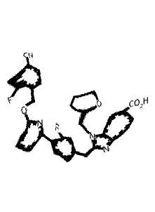 N#Cc1ccc(COc2cccc(-c3ccc(Cc4nc5ccc(C(=O)O)cc5n4CC4CCCO4)cc3F)n2)c(F)c1